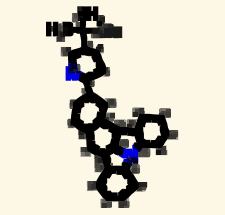 BC(B)(c1ccc(-c2ccc3cc4c5ccccc5n5c6ccccc6c(c3c2)c45)nc1)C(C)(C)C